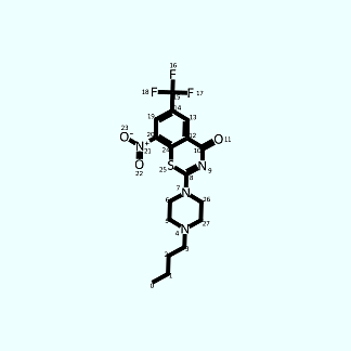 CCCCN1CCN(c2nc(=O)c3cc(C(F)(F)F)cc([N+](=O)[O-])c3s2)CC1